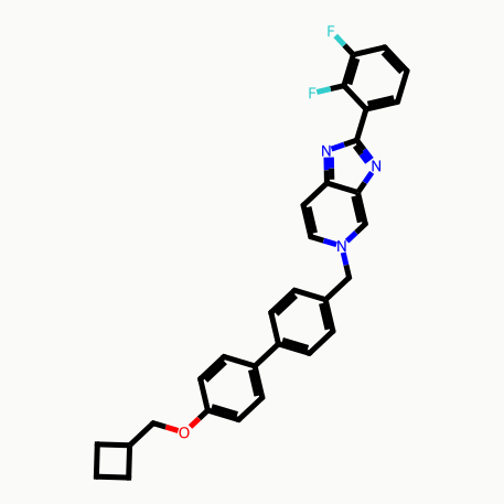 Fc1cccc(-c2nc3ccn(Cc4ccc(-c5ccc(OCC6CCC6)cc5)cc4)cc-3n2)c1F